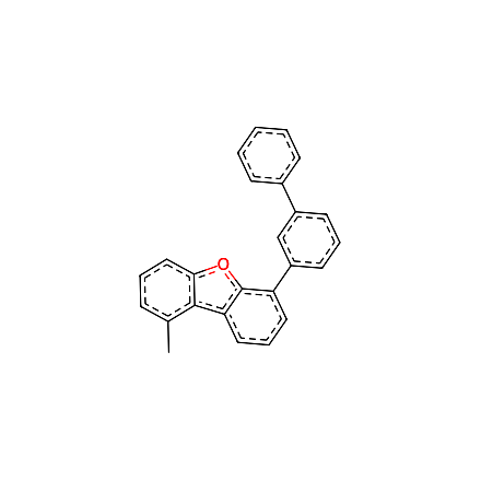 Cc1cccc2oc3c(-c4cccc(-c5ccccc5)c4)cccc3c12